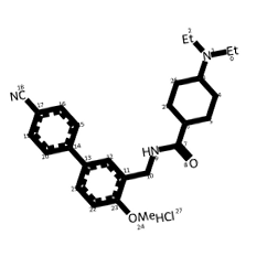 CCN(CC)C1CCC(C(=O)NCc2cc(-c3ccc(C#N)cc3)ccc2OC)CC1.Cl